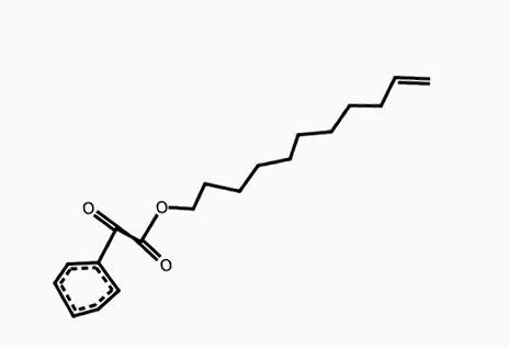 C=CCCCCCCCCCOC(=O)C(=O)c1ccccc1